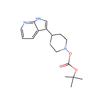 CC(C)(C)OC(=O)ON1CCC(c2c[nH]c3ncccc23)CC1